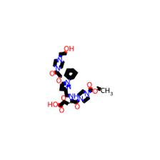 CCOC(=O)N1CCN(C(=O)[C@H](CCC(=O)O)NC(=O)c2cc(OCC(=O)N3CCN(CCO)CC3)n(-c3ccccc3)n2)CC1